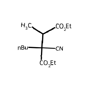 CCCCC(C#N)(C(=O)OCC)C(C)C(=O)OCC